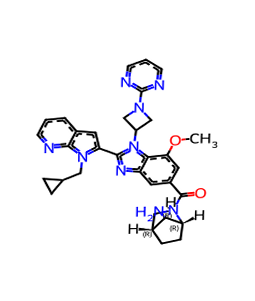 COc1cc(C(=O)N2C[C@H]3CC[C@@H]2[C@@H]3N)cc2nc(-c3cc4cccnc4n3CC3CC3)n(C3CN(c4ncccn4)C3)c12